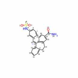 CS(=O)(=O)Nc1cccc(/C=C2/c3ccccc3CCc3cc(C(N)=O)ccc32)c1